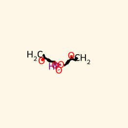 C=CC(=O)C#CCO[PH](=O)OCC#CC(=O)C=C